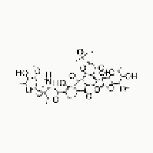 CNC1(C)CC(c2ccc3c(c2O)C(=O)c2c(cc(C(O)(C(=O)OC)C4CC(OC)C(O)C(C)O4)c4c(=O)cc(C5(C)OC5C)oc24)C3=O)OC(C)C1OC1CC(OC)C(O)C(C)O1